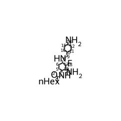 CCCCCCC(=O)Nc1ccc(NCc2ccc(N)cc2)c(F)c1N